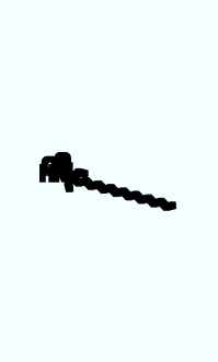 CCCCCCCCCCCCCCCCC(CC)(CC)c1coc(=O)[nH]1